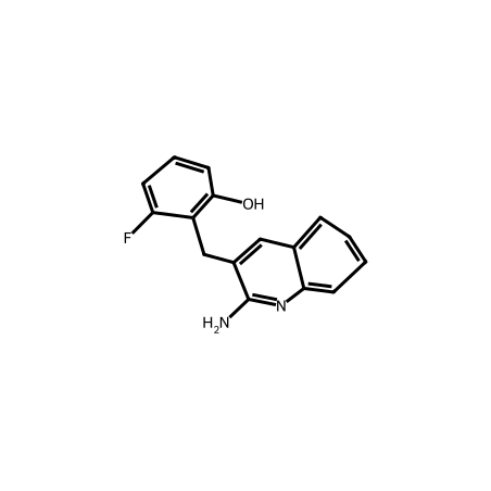 Nc1nc2ccccc2cc1Cc1c(O)cccc1F